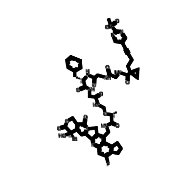 CC[C@@]1(O)C(=O)OCc2c1cc1n(c2=O)Cc2c-1nc1cc(F)c3c(c1c2CNC(=O)[C@@H](C)OCNC(=O)CNC(=O)[C@H](Cc1ccccc1)NC(=O)CNC(=O)CNC(=O)C1(CCC#Cc2cnc(S(C)(=O)=O)nc2)CC1)CCC3